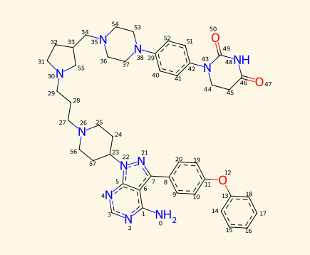 Nc1ncnc2c1c(-c1ccc(Oc3ccccc3)cc1)nn2C1CCN(CCCN2CCC(CN3CCN(c4ccc(N5CCC(=O)NC5=O)cc4)CC3)C2)CC1